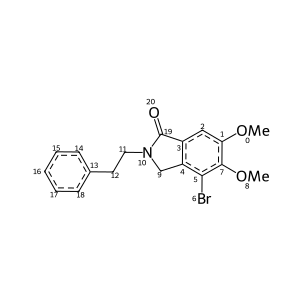 COc1cc2c(c(Br)c1OC)CN(CCc1ccccc1)C2=O